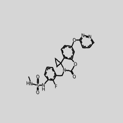 CNS(=O)(=O)Nc1cccc(CN2C(=O)Oc3cc(Oc4cccnn4)ccc3C23CC3)c1F